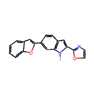 In1c(-c2ncco2)cc2ccc(-c3cc4ccccc4o3)cc21